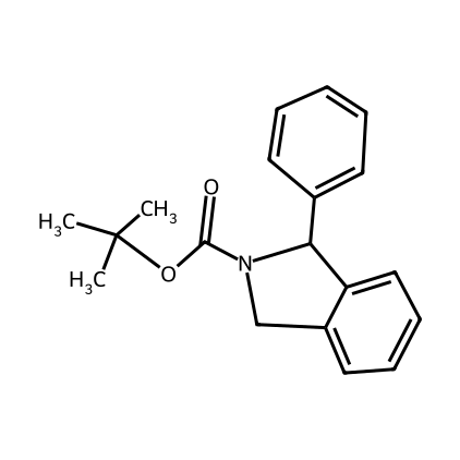 CC(C)(C)OC(=O)N1Cc2ccccc2C1c1ccccc1